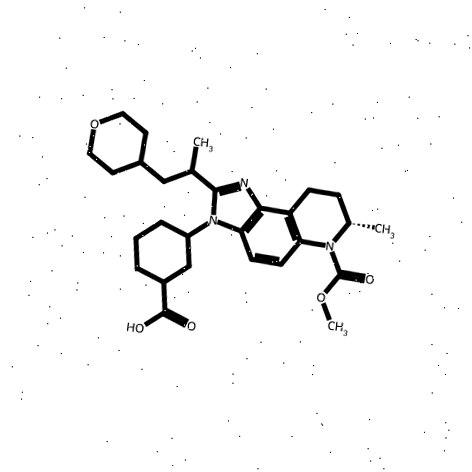 COC(=O)N1c2ccc3c(nc(C(C)CC4CCOCC4)n3C3CCCC(C(=O)O)C3)c2CC[C@@H]1C